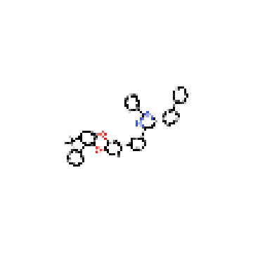 CC1(C)c2ccccc2-c2c1ccc1c2Oc2ccc(-c3cccc(-c4cc(-c5cccc(-c6ccccc6)c5)nc(-c5ccccc5)n4)c3)cc2O1